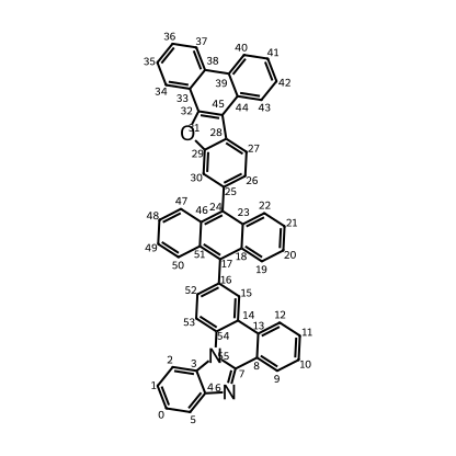 c1ccc2c(c1)nc1c3ccccc3c3cc(-c4c5ccccc5c(-c5ccc6c(c5)oc5c7ccccc7c7ccccc7c65)c5ccccc45)ccc3n21